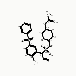 C=CC(c1cc(S(=O)(=O)c2ccccc2)ccc1C(F)(F)F)S(=O)(=O)NC1CCN(CC(=O)NC)CC1